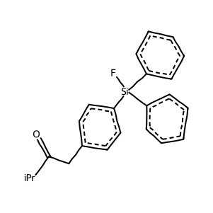 CC(C)C(=O)Cc1ccc([Si](F)(c2ccccc2)c2ccccc2)cc1